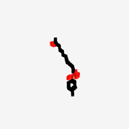 Cc1ccc(S(=O)(=O)OC=CC=CCC=CCC2OC2C)cc1